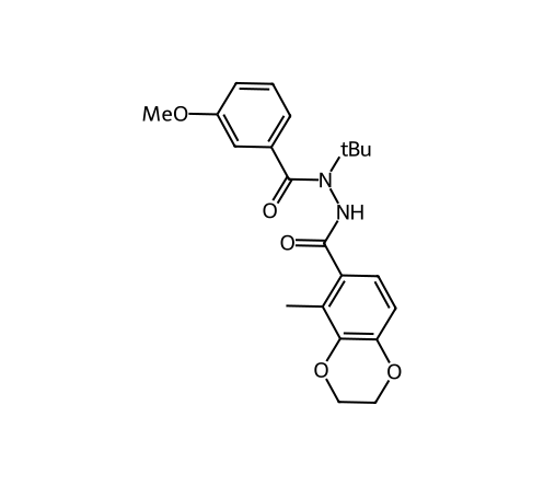 COc1cccc(C(=O)N(NC(=O)c2ccc3c(c2C)OCCO3)C(C)(C)C)c1